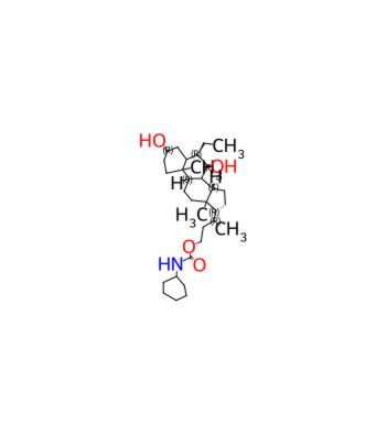 CC[C@@H]1C2C[C@H](O)CCC2(C)[C@H]2CCC3(C)[C@@H]([C@H](C)CCOC(=O)NC4CCCCC4)CC[C@H]3C2[C@@H]1O